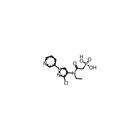 CCN(C(=O)CP(=O)(O)O)c1cn(-c2cccnc2)nc1Cl